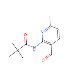 Cc1ccc(C=O)c(NC(=O)C(C)(C)C)n1